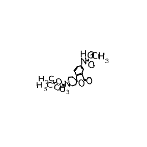 COC(=O)Nc1ccc2c(c1)C(=O)OC21CCN(C(=O)OC(C)(C)C)CC1